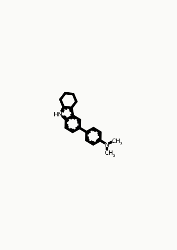 CN(C)c1ccc(-c2ccc3[nH]c4c(c3c2)CCCC4)cc1